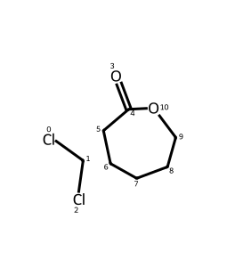 ClCCl.O=C1CCCCCO1